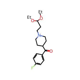 CCOC(CCN1CCC(C(=O)c2ccc(F)cc2)CC1)OCC